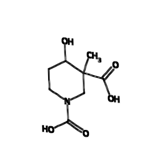 CC1(C(=O)O)CN(C(=O)O)CCC1O